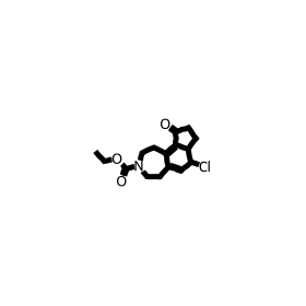 CCOC(=O)N1CCC2=CC(Cl)C3CCC(=O)C3=C2CC1